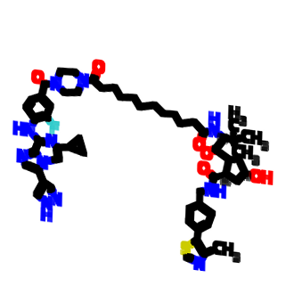 Cc1ncsc1-c1ccc(CNC(=O)[C@@H]2C[C@H](O)CC2C(=O)[C@@H](NC(=O)CCCCCCCCCCC(=O)N2CCN(C(=O)c3ccc(Nc4nc(C5CC5)cn5c(-c6cn[nH]c6)cnc45)c(F)c3)CC2)C(C)(C)C)cc1